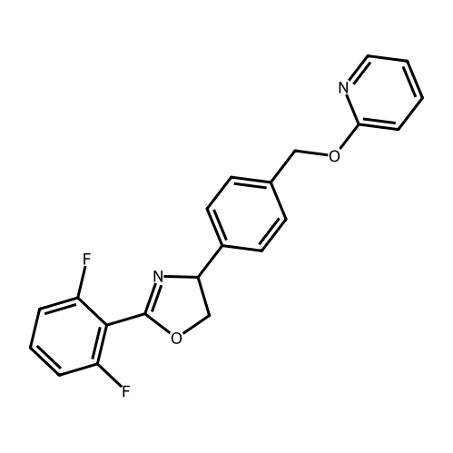 Fc1cccc(F)c1C1=NC(c2ccc(COc3ccccn3)cc2)CO1